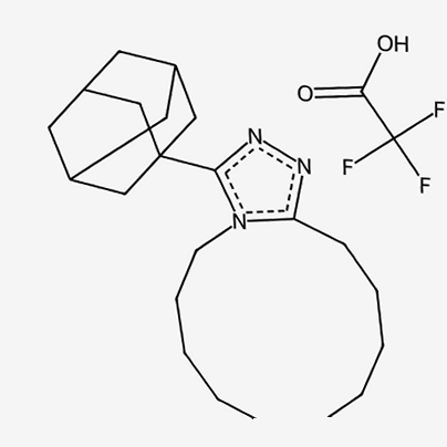 C1CCCCCn2c(nnc2C23CC4CC(CC(C4)C2)C3)CCCC1.O=C(O)C(F)(F)F